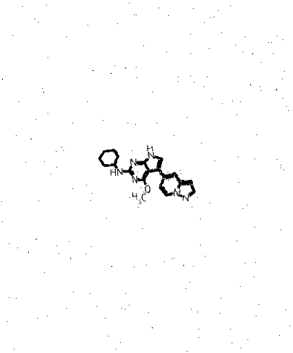 COc1nc(NC2CCCCC2)nc2[nH]cc(-c3ccn4nccc4c3)c12